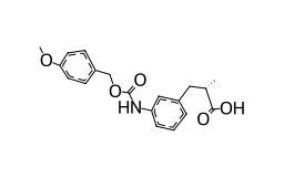 COc1ccc(COC(=O)Nc2cccc(C[C@H](C)C(=O)O)c2)cc1